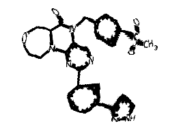 CS(=O)(=O)c1ccc(CN2C(=O)C3COCCN3c3nc(-c4cccc(-c5cc[nH]n5)c4)ncc32)cc1